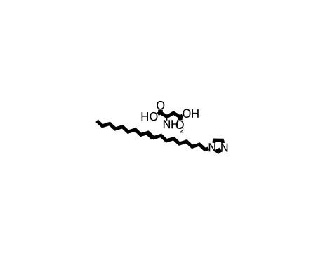 CCCCCCCCC=CCCCCCCCCN1C=NCC1.N[C@@H](CC(=O)O)C(=O)O